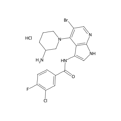 Cl.NC1CCCN(c2c(Br)cnc3[nH]cc(NC(=O)c4ccc(F)c(Cl)c4)c23)C1